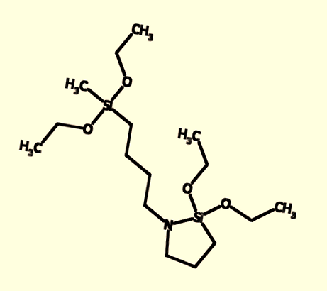 CCO[Si](C)(CCCCN1CCC[Si]1(OCC)OCC)OCC